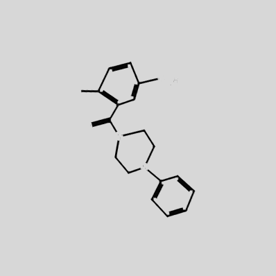 Cc1ccc(C(=O)O)cc1C(=O)N1CCN(c2ccccc2)CC1